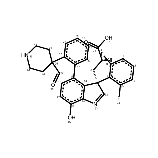 N[C@@H](C[C@]1(c2c(F)cccc2F)C=Nc2c(O)ccc(-c3ccccc3C3(C=O)CCNCC3)c21)C(=O)O